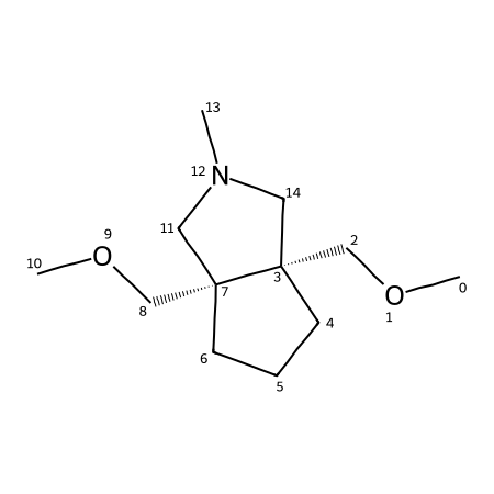 COC[C@]12CCC[C@@]1(COC)CN(C)C2